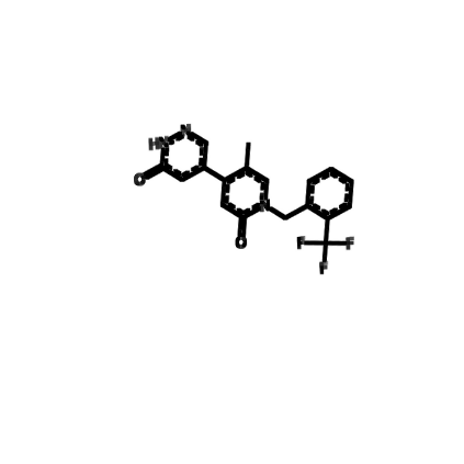 Cc1cn(Cc2ccccc2C(F)(F)F)c(=O)cc1-c1cn[nH]c(=O)c1